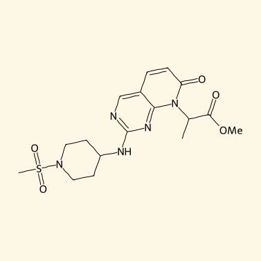 COC(=O)C(C)n1c(=O)ccc2cnc(NC3CCN(S(C)(=O)=O)CC3)nc21